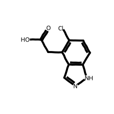 O=C(O)Cc1c(Cl)ccc2[nH]ncc12